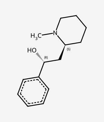 CN1CCCC[C@H]1C[C@@H](O)c1ccccc1